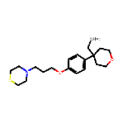 CC(=O)NCC1(c2ccc(OCCCN3CCSCC3)cc2)CCOCC1